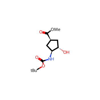 COC(=O)[C@@H]1C[C@H](NC(=O)OC(C)(C)C)[C@@H](O)C1